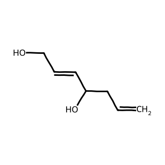 C=CCC(O)C=CCO